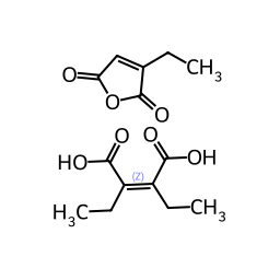 CC/C(C(=O)O)=C(\CC)C(=O)O.CCC1=CC(=O)OC1=O